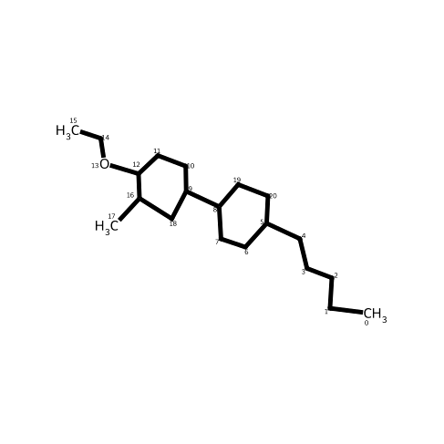 CCCCCC1CCC(C2CCC(OCC)C(C)C2)CC1